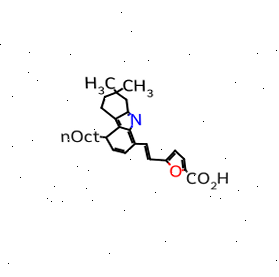 CCCCCCCCC1C=CC(C=Cc2ccc(C(=O)O)o2)=C2N=C3CC(C)(C)CCC3=C21